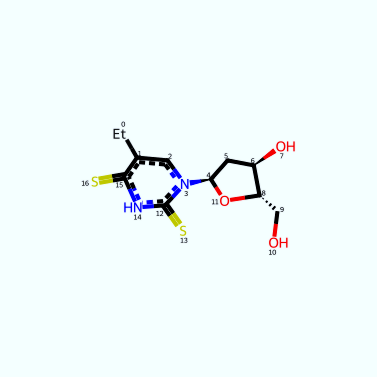 CCc1cn([C@H]2C[C@@H](O)[C@H](CO)O2)c(=S)[nH]c1=S